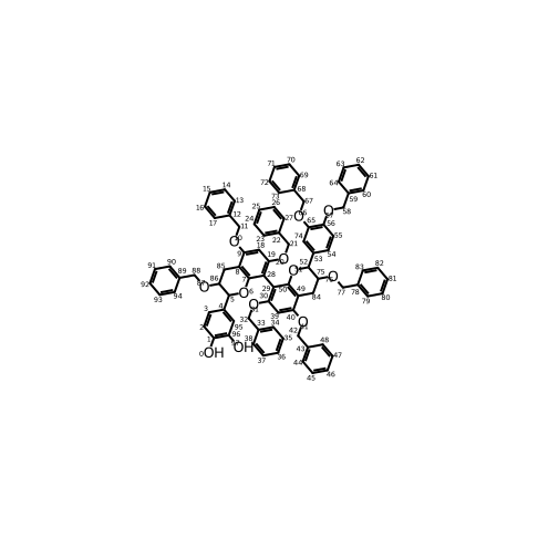 Oc1ccc(C2Oc3c(c(OCc4ccccc4)cc(OCc4ccccc4)c3-c3c(OCc4ccccc4)cc(OCc4ccccc4)c4c3OC(c3ccc(OCc5ccccc5)c(OCc5ccccc5)c3)C(OCc3ccccc3)C4)CC2OCc2ccccc2)cc1O